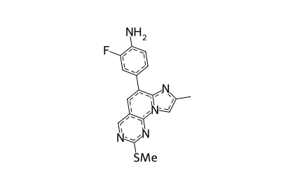 CSc1ncc2cc(-c3ccc(N)c(F)c3)c3nc(C)cn3c2n1